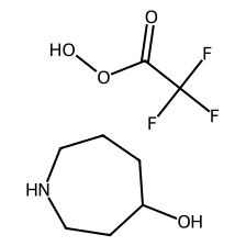 O=C(OO)C(F)(F)F.OC1CCCNCC1